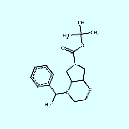 CC(c1ccccc1)N1CCOC2CN(C(=O)OC(C)(C)C)CC21